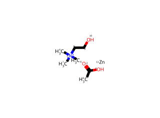 CC(=O)O.C[N+](C)(C)CCO.[Zn]